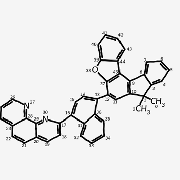 CC1(C)c2ccccc2-c2c1cc(-c1ccc(-c3ccc4ccc5cccnc5c4n3)c3ccccc13)c1oc3ccccc3c21